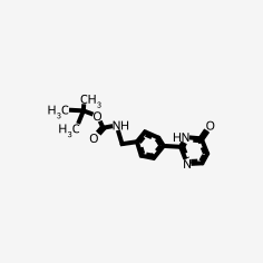 CC(C)(C)OC(=O)NCc1ccc(-c2nccc(=O)[nH]2)cc1